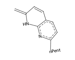 C=C1C=Cc2ccc(CCCCC)nc2N1